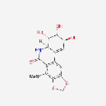 CNc1c2c(cc3c1C(=O)N[C@@H]1C3=C[C@H](O)[C@@H](O)[C@H]1O)OCO2